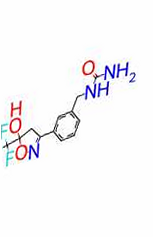 NC(=O)NCc1cccc(C2=NOC(O)(C(F)(F)F)C2)c1